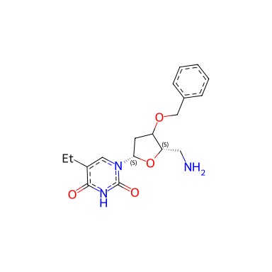 CCc1cn([C@@H]2CC(OCc3ccccc3)[C@H](CN)O2)c(=O)[nH]c1=O